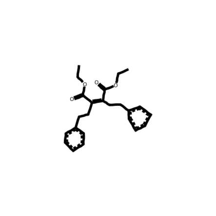 CCOC(=O)/C(CCc1ccccc1)=C(/CCc1ccccc1)C(=O)OCC